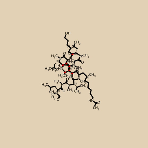 CC[C@H](NC(=O)C(C[C@H](C)CCCCCCNC(C)=O)N(C)C(=O)[C@H](C(C)C)N(C)C(=O)N(C)C(=O)[C@H](CC(C)C)N(C)C=O)C(=O)N(C)[C@H](SCCCCCCO)C(=O)N(C)[C@@H](CC(C)C)C(=O)N[C@H](C(=O)N(C)[C@@H](CC(C)C)C(=O)N[C@@H](C)C(=O)NC)C(C)C